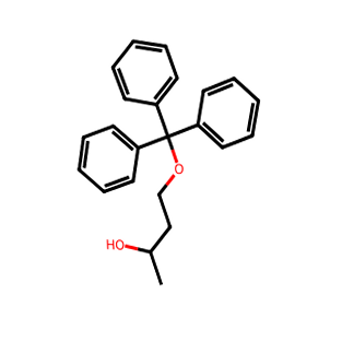 CC(O)CCOC(c1ccccc1)(c1ccccc1)c1ccccc1